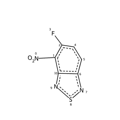 O=[N+]([O-])c1c(F)ccc2nsnc12